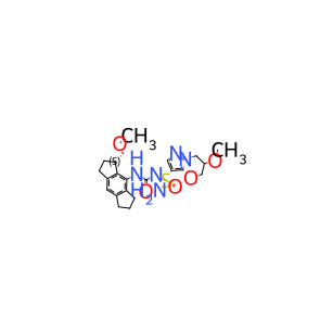 COC[C@H]1CCc2cc3c(c(NC(=O)N=S(N)(=O)c4cnn5c4OCC(OC)C5)c21)CCC3